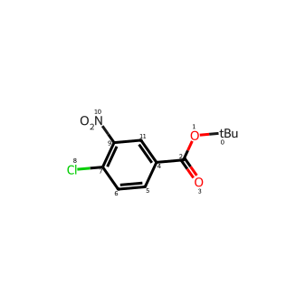 CC(C)(C)OC(=O)c1ccc(Cl)c([N+](=O)[O-])c1